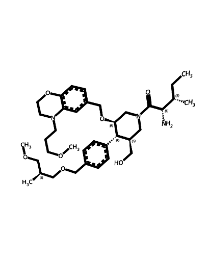 CC[C@H](C)[C@H](N)C(=O)N1C[C@@H](CO)[C@H](c2ccc(COC[C@@H](C)COC)cc2)[C@@H](OCc2ccc3c(c2)N(CCCOC)CCO3)C1